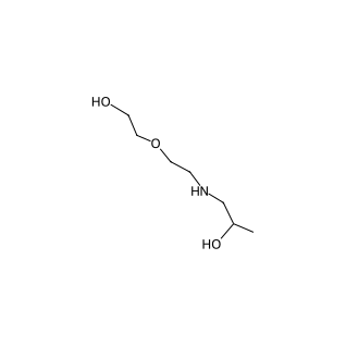 CC(O)CNCCOCCO